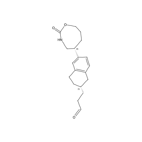 O=CCC[C@@H]1CCc2cc([C@H]3CCCOC(=O)NC3)ccc2C1